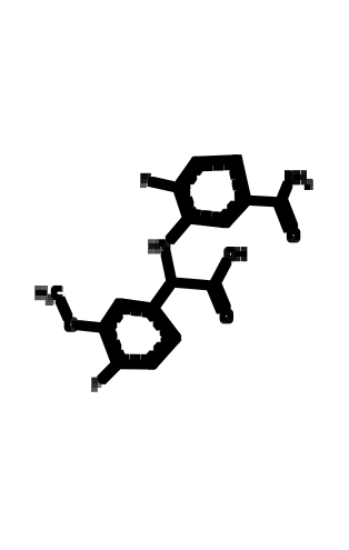 COc1cc(C(Nc2cc(C(N)=O)ccc2F)C(=O)O)ccc1F